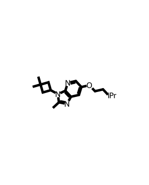 Cc1nc2cc(OCCC(C)C)cnc2n1C1CC(C)(C)C1